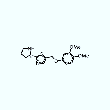 COc1ccc(OCc2cnc([C@@H]3CCCN3)s2)cc1OC